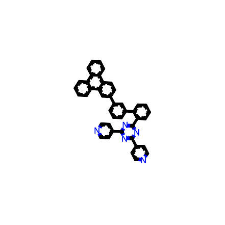 c1cc(-c2ccc3c4ccccc4c4ccccc4c3c2)cc(-c2ccccc2-c2nc(-c3ccncc3)nc(-c3ccncc3)n2)c1